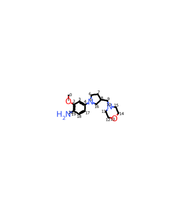 COc1cc(N2CCC(CN3CCOCC3)C2)ccc1N